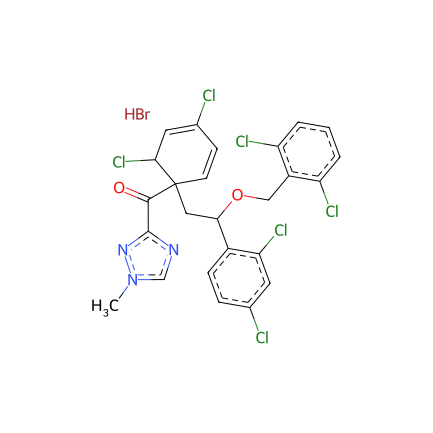 Br.Cn1cnc(C(=O)C2(CC(OCc3c(Cl)cccc3Cl)c3ccc(Cl)cc3Cl)C=CC(Cl)=CC2Cl)n1